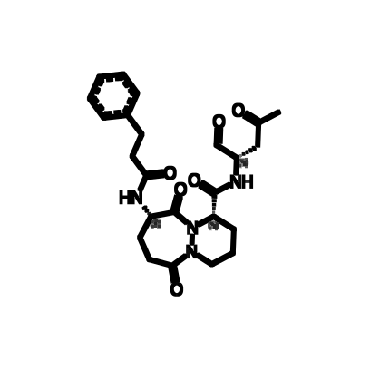 CC(=O)C[C@@H](C=O)NC(=O)[C@@H]1CCCN2C(=O)CC[C@H](NC(=O)CCc3ccccc3)C(=O)N12